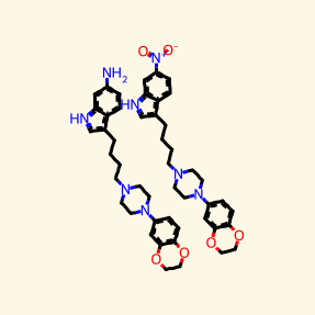 Nc1ccc2c(CCCCN3CCN(c4ccc5c(c4)OCCO5)CC3)c[nH]c2c1.O=[N+]([O-])c1ccc2c(CCCCN3CCN(c4ccc5c(c4)OCCO5)CC3)c[nH]c2c1